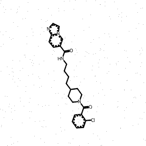 O=C(NCCCCC1CCN(C(=O)c2ccccc2Cl)CC1)c1ccc2nccn2c1